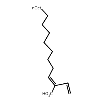 C=CC(=CCCCCCCCCCCCCCCC)C(=O)O